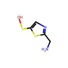 NCc1ncc(SO)s1